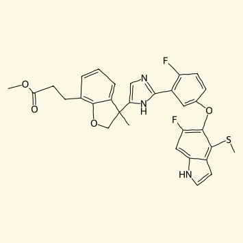 COC(=O)CCc1cccc2c1OCC2(C)c1cnc(-c2cc(Oc3c(F)cc4[nH]ccc4c3SC)ccc2F)[nH]1